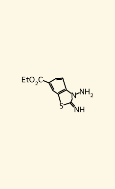 CCOC(=O)c1ccc2c(c1)sc(=N)n2N